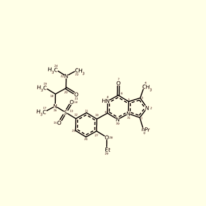 CCCc1nc(C)c2c(=O)[nH]c(-c3cc(S(=O)(=O)N(C)C(C)C(=O)N(C)C)ccc3OCC)nn12